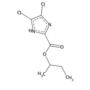 CCC(C)OC(=O)c1nc(Cl)c(Cl)[nH]1